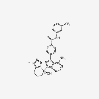 Cn1ncc2c1CCC[C@@]2(O)c1nc(-c2ccc(C(=O)Nc3cc(C(F)(F)F)ccn3)cc2)c2c(N)nccn12